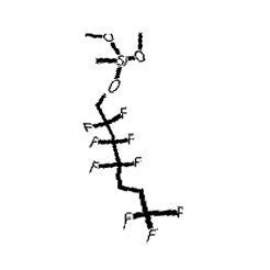 CO[Si](C)(OC)OCC(F)(F)C(F)(F)C(F)(F)CCC(F)(F)F